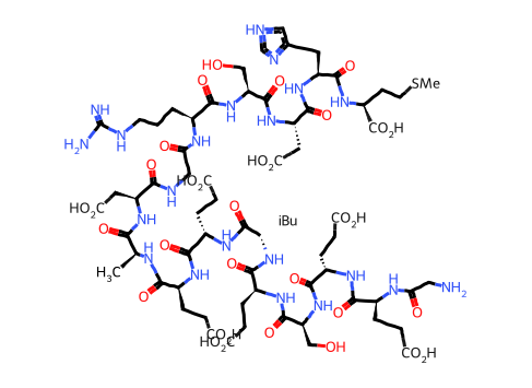 CC[C@H](C)[C@H](NC(=O)[C@H](CCC(=O)O)NC(=O)[C@H](CO)NC(=O)[C@H](CCC(=O)O)NC(=O)[C@H](CCC(=O)O)NC(=O)CN)C(=O)N[C@@H](CCC(=O)O)C(=O)N[C@@H](CCC(=O)O)C(=O)N[C@@H](C)C(=O)N[C@@H](CC(=O)O)C(=O)NCC(=O)N[C@@H](CCCNC(=N)N)C(=O)N[C@@H](CO)C(=O)N[C@@H](CC(=O)O)C(=O)N[C@@H](Cc1c[nH]cn1)C(=O)N[C@@H](CCSC)C(=O)O